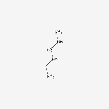 NCNNNN